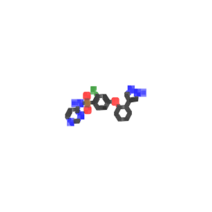 O=S(=O)(Nc1ccncn1)c1ccc(OC2CCCCC2c2cn[nH]c2)cc1F